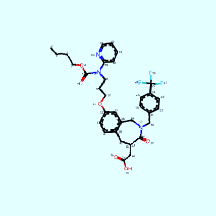 CCCCOC(=O)N(CCCOc1ccc2c(c1)CN(Cc1ccc(C(F)(F)F)cc1)C(=O)[C@@H](CC(=O)O)C2)c1ccccn1